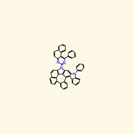 c1ccc(-c2nc(-n3c4cc5c(c6c4c4c7c(cccc7ccc43)-c3ccccc3-6)c3ccccc3n5-c3ccccc3)nc3ccc4ccccc4c23)cc1